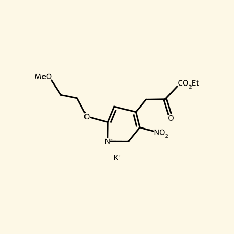 CCOC(=O)C(=O)CC1=C([N+](=O)[O-])C[N-]C(OCCOC)=C1.[K+]